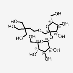 OC[C@H]1O[C@@](COCCC(CO)(CO)CO)(O[C@H]2O[C@H](CO)[C@@H](O)[C@H](O)[C@H]2O)[C@@H](O)[C@@H]1O